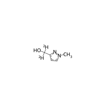 [2H]C([2H])(O)c1ccn(C)n1